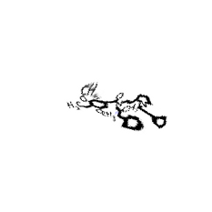 CCc1c(OC)cc(C(=O)N(CCC2CCCN2Cc2ccccc2)C/C(C)=C/c2ccccc2)cc1OC